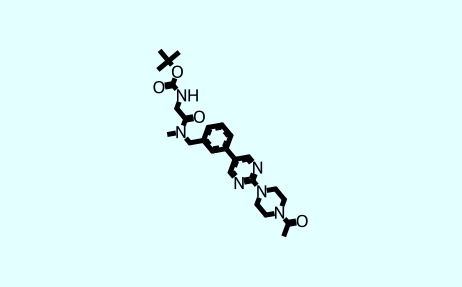 CC(=O)N1CCN(c2ncc(-c3cccc(CN(C)C(=O)CNC(=O)OC(C)(C)C)c3)cn2)CC1